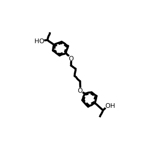 CC(O)c1ccc(OCCCCOc2ccc(C(C)O)cc2)cc1